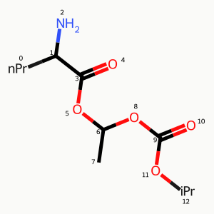 CCCC(N)C(=O)OC(C)OC(=O)OC(C)C